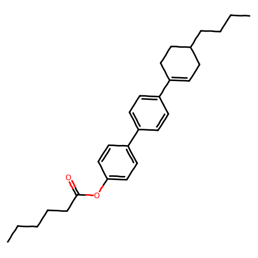 CCCCCC(=O)Oc1ccc(-c2ccc(C3=CCC(CCCC)CC3)cc2)cc1